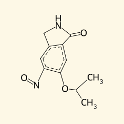 CC(C)Oc1cc2c(cc1N=O)CNC2=O